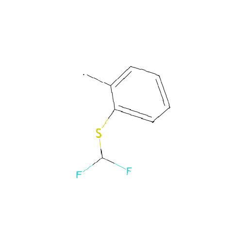 [CH2]c1ccccc1SC(F)F